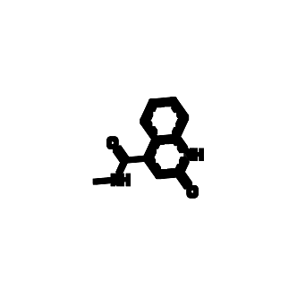 CNC(=O)c1cc(=O)[nH]c2ccccc12